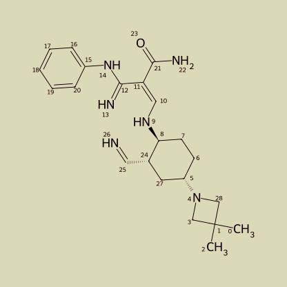 CC1(C)CN([C@H]2CC[C@H](N/C=C(\C(=N)Nc3ccccc3)C(N)=O)[C@@H](C=N)C2)C1